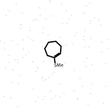 [CH2]SC1=CCCCCC1